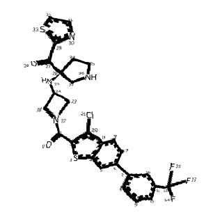 O=C(c1sc2cc(-c3cccc(C(F)(F)F)c3)ccc2c1Cl)N1CC(N[C@@]2(C(=O)c3nccs3)CCNC2)C1